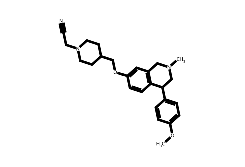 COc1ccc(C2CN(C)Cc3cc(OCC4CCN(CC#N)CC4)ccc32)cc1